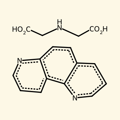 O=C(O)CNCC(=O)O.c1cnc2c(c1)ccc1ncccc12